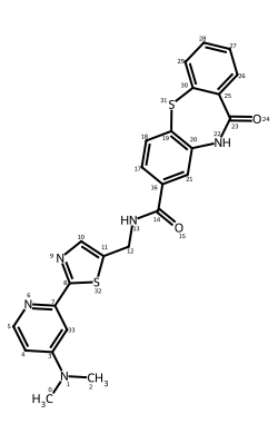 CN(C)c1ccnc(-c2ncc(CNC(=O)c3ccc4c(c3)NC(=O)c3ccccc3S4)s2)c1